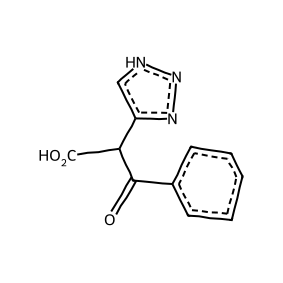 O=C(O)C(C(=O)c1ccccc1)c1c[nH]nn1